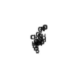 NC(=O)c1[nH]c2c(NC(=O)CCCC(=O)N3CCOCC3)cc(Cl)cc2c1S(=O)(=O)N1CCOC(COc2ccccc2)C1